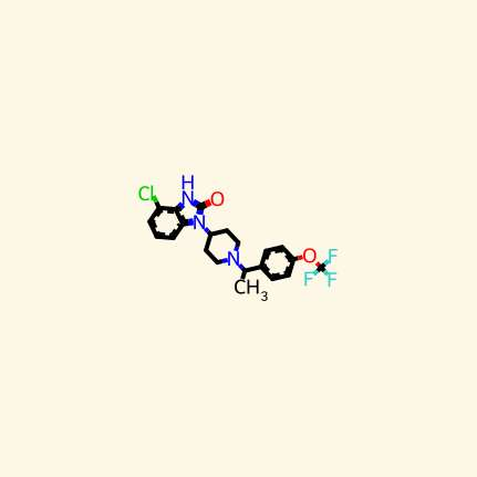 CC(c1ccc(OC(F)(F)F)cc1)N1CCC(n2c(=O)[nH]c3c(Cl)cccc32)CC1